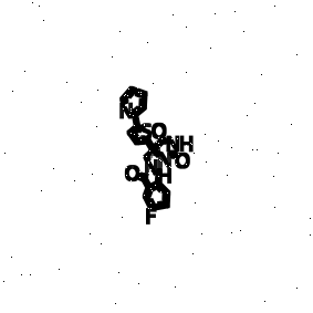 O=C1NC(=O)[C@@](CN2Cc3ccc(F)cc3C2=O)(c2ccc(-c3ccccn3)s2)N1